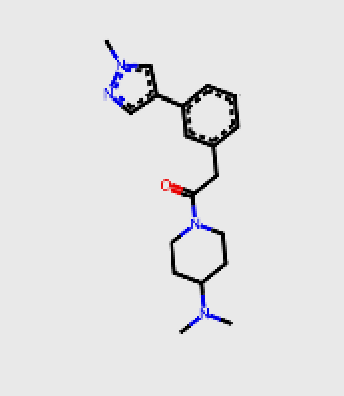 CN(C)C1CCN(C(=O)Cc2c[c]cc(-c3cnn(C)c3)c2)CC1